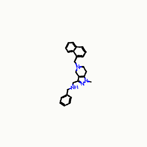 Cn1nc(CNCc2ccccc2)c2c1CCN(Cc1cccc3ccccc13)C2